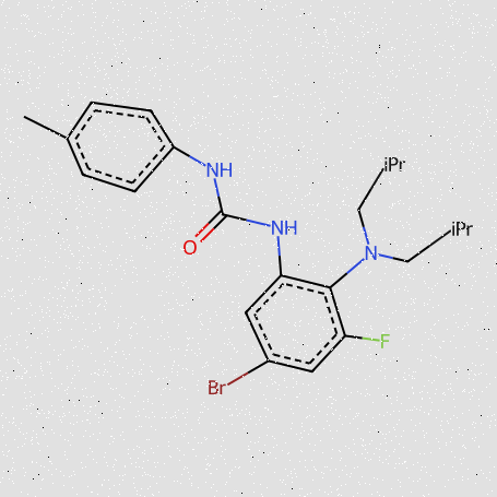 Cc1ccc(NC(=O)Nc2cc(Br)cc(F)c2N(CC(C)C)CC(C)C)cc1